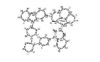 c1ccc(-c2ccc(-c3nc(-n4c5cccc6ccc7cc(-c8ccc9c%10ccccc%10n(-c%10ccccc%10)c9c8)cc4c7c65)nc4ccccc34)cc2)cc1